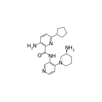 Nc1ccc(C2CCCC2)nc1C(=O)Nc1cnccc1N1CCC[C@H](N)C1